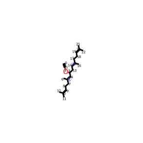 C#COC(/C=C(\C)CCC=C(C)C)C/C=C(\C)CCC=C(C)C